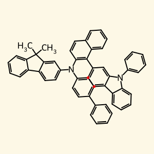 CC1(C)c2ccccc2-c2ccc(N(c3ccc(-c4ccccc4)cc3)c3ccc4ccccc4c3-c3ccc4c5ccccc5n(-c5ccccc5)c4c3)cc21